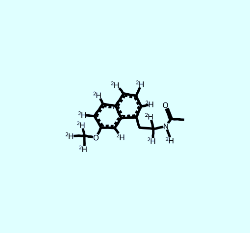 [2H]c1c([2H])c(CC([2H])([2H])N([2H])C(C)=O)c2c([2H])c(OC([2H])([2H])[2H])c([2H])c([2H])c2c1[2H]